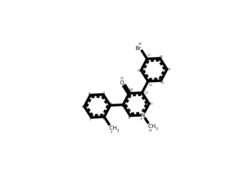 Cc1ccccc1-c1cn(C)cc(-c2cccc(Br)c2)c1=O